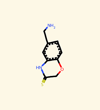 NCc1ccc2c(c1)NC(=S)CO2